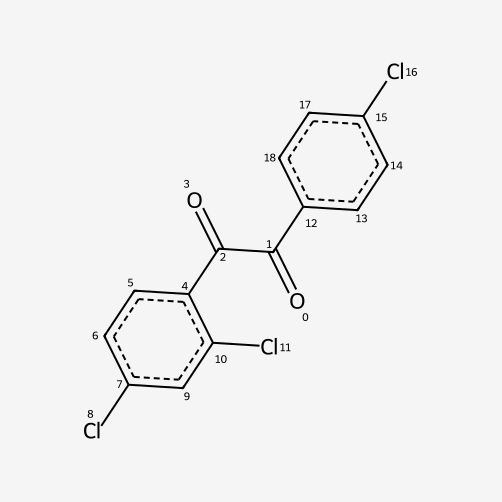 O=C(C(=O)c1ccc(Cl)cc1Cl)c1ccc(Cl)cc1